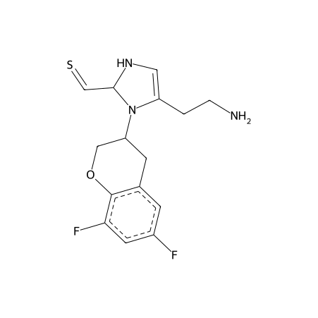 NCCC1=CNC(C=S)N1C1COc2c(F)cc(F)cc2C1